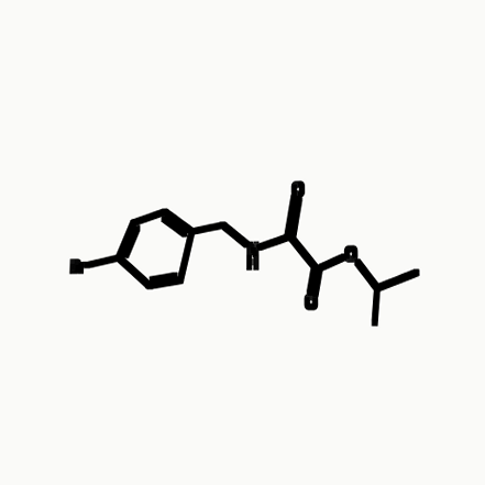 CC(C)OC(=O)C(=O)NCc1ccc(Br)cc1